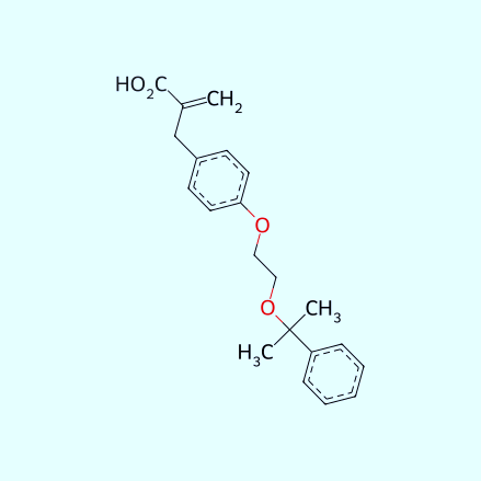 C=C(Cc1ccc(OCCOC(C)(C)c2ccccc2)cc1)C(=O)O